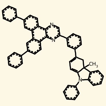 CC12CC(c3cccc(-c4cnc5c6ccc(-c7ccccc7)cc6c6cc(-c7ccccc7)ccc6c5n4)c3)=CC=C1N(c1ccccc1)c1ccccc12